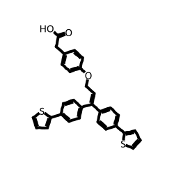 O=C(O)Cc1ccc(OCC=C(c2ccc(-c3cccs3)cc2)c2ccc(-c3cccs3)cc2)cc1